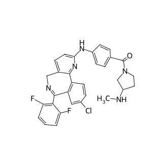 CNC1CCN(C(=O)c2ccc(Nc3ccc4c(n3)-c3ccc(Cl)cc3C(c3c(F)cccc3F)=NC4)cc2)C1